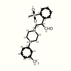 CS(=O)(=O)c1ccccc1C(C=O)CN1CCN(c2cccc(C(F)(F)F)c2)CC1